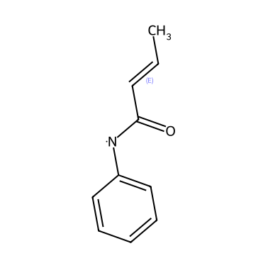 C/C=C/C(=O)[N]c1ccccc1